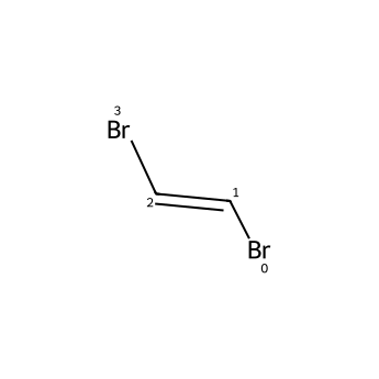 BrC=CBr